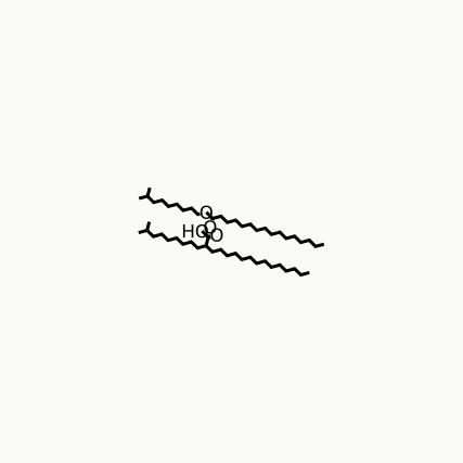 CCCCCCCCCCCCCCC(CCCCCCCC(C)C)C(=O)O.CCCCCCCCCCCCCCCC(=O)OCCCCCCCC(C)C